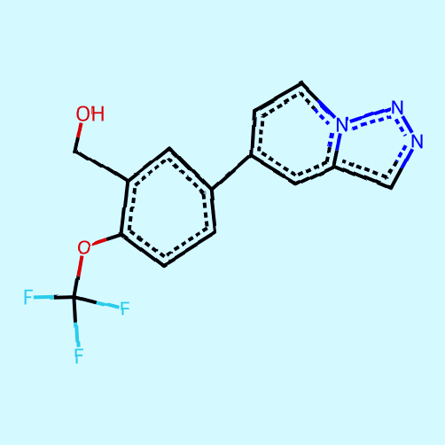 OCc1cc(-c2ccn3nncc3c2)ccc1OC(F)(F)F